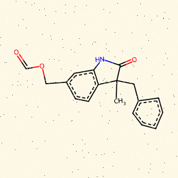 CC1(Cc2ccccc2)C(=O)Nc2cc(COC=O)ccc21